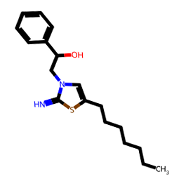 CCCCCCCc1cn(CC(O)c2ccccc2)c(=N)s1